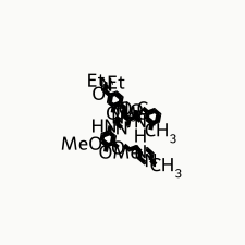 CCN(CC)C(=O)c1ccc(Oc2nc(Nc3cc(OC)c(OC)c(OCCCN4CCN(C)CC4)c3)ncc2C(=O)Nc2c(C)cccc2C)c(OC)c1